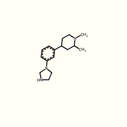 CC1CC(c2cccc(N3CCNC3)c2)CCN1C